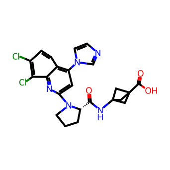 O=C(NC12CC(C(=O)O)(C1)C2)[C@@H]1CCCN1c1cc(-n2ccnc2)c2ccc(Cl)c(Cl)c2n1